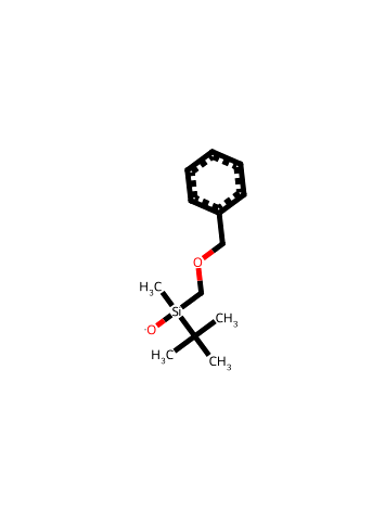 CC(C)(C)[Si](C)([O])COCc1ccccc1